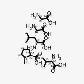 CC(C)C[C@H](N)C(=O)O.CC(C)[C@H](N)C(=O)O.NCC(=O)O.NCC(=O)O.O=C(O)[C@@H]1CCCN1